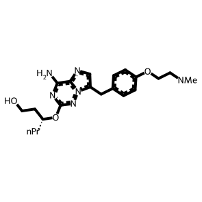 CCC[C@H](CCO)Oc1nc(N)c2ncc(Cc3ccc(OCCNC)cc3)n2n1